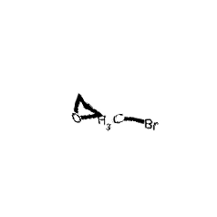 C1CO1.CBr